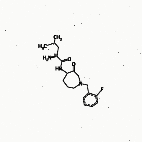 CC(C)C[C@H](N)C(=O)NC1CCCN(Cc2ccccc2F)CC1=O